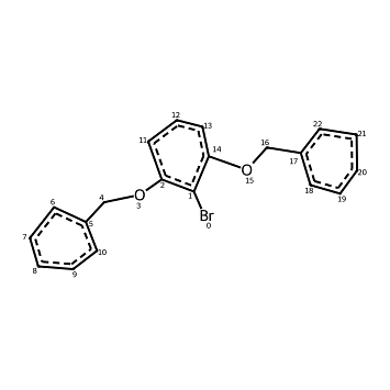 Brc1c(OCc2ccccc2)cccc1OCc1ccccc1